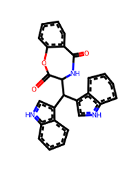 O=C1NC(C(c2c[nH]c3ccccc23)c2c[nH]c3ccccc23)C(=O)Oc2ccccc21